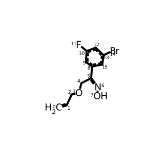 C=CCOC/C(=N\O)c1cc(F)cc(Br)c1